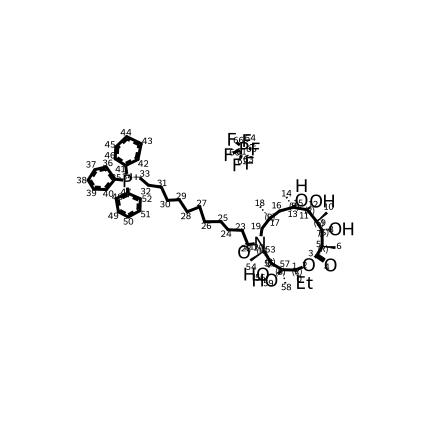 CC[C@H]1OC(=O)[C@H](C)[C@@H](O)[C@H](C)[C@@H](O)[C@](C)(O)C[C@@H](C)CN(C(=O)CCCCCCCCCCC[P+](c2ccccc2)(c2ccccc2)c2ccccc2)[C@H](C)[C@@H](O)[C@]1(C)O.F[P-](F)(F)(F)(F)F